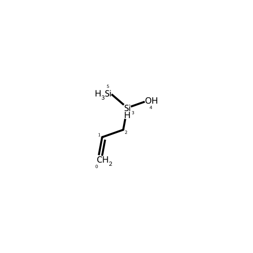 C=CC[SiH](O)[SiH3]